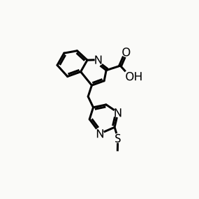 CSc1ncc(Cc2cc(C(=O)O)nc3ccccc23)cn1